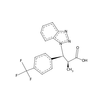 C[C@H](C(=O)O)[C@@H](c1ccc(C(F)(F)F)cc1)n1nnc2ccccc21